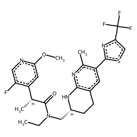 CCN(C[C@H]1CCc2cc(-c3nc(C(F)(F)F)cs3)c(C)nc2N1)C(=O)[C@H](C)c1cc(OC)ncc1F